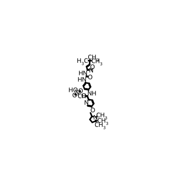 CN1C(COc2ccc(C(=O)Nc3ccc(NC(=O)Nc4cc(C(C)(C)C)on4)cc3)nc2)CCC1(C)C.CS(=O)(=O)O